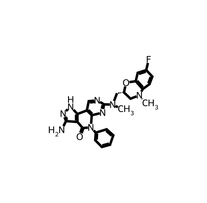 CN(C[C@H]1CN(C)c2ccc(F)cc2O1)c1ncc2c3[nH]nc(N)c3c(=O)n(-c3ccccc3)c2n1